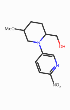 COC1CCC(CO)N(c2ccc([N+](=O)[O-])nc2)C1